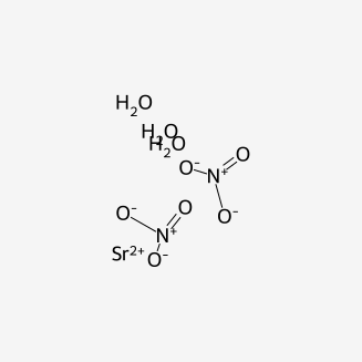 O.O.O.O=[N+]([O-])[O-].O=[N+]([O-])[O-].[Sr+2]